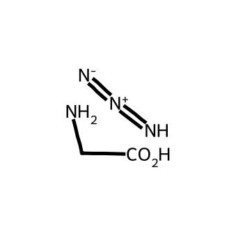 NCC(=O)O.[N-]=[N+]=N